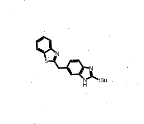 CC(C)(C)c1nc2ccc(Cc3nc4ccccc4s3)cc2[nH]1